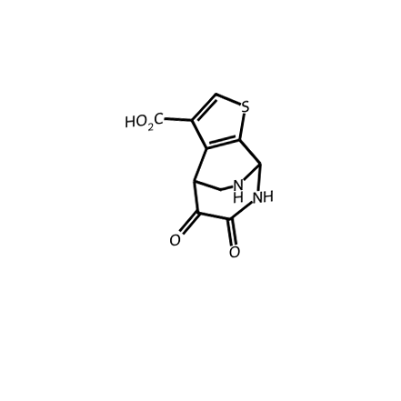 O=C1NC2NCC(C1=O)c1c(C(=O)O)csc12